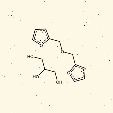 OCC(O)CO.c1coc(COCc2ccco2)c1